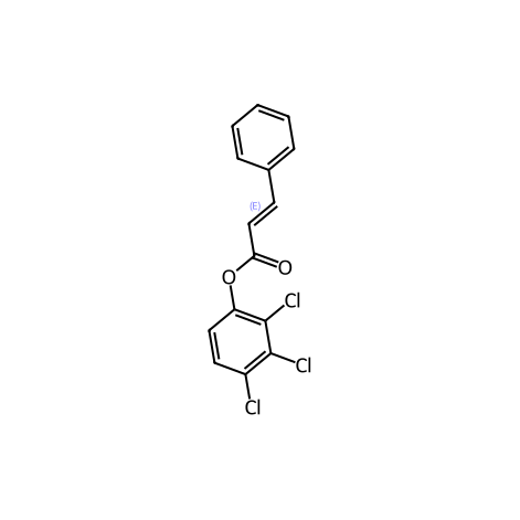 O=C(/C=C/c1ccccc1)Oc1ccc(Cl)c(Cl)c1Cl